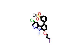 CCS(=O)(=O)c1cccc(-c2ccc(OCCCI)c3[nH]c4c(c23)=CC(Cl)CN=4)c1